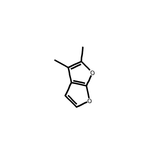 Cc1oc2occc2c1C